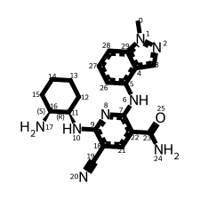 Cn1ncc2c(Nc3nc(N[C@@H]4CCCC[C@@H]4N)c(C#N)cc3C(N)=O)cccc21